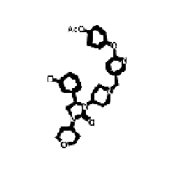 CC(=O)Oc1ccc(Oc2ccc(CN3CCC(N4C(=O)N(C5CCOCC5)CC4c4cccc(Cl)c4)CC3)cn2)cc1